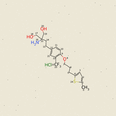 Cc1ccc(CCCOc2ccc(CCC(N)(CO)CO)cc2C(F)(F)F)s1.Cl